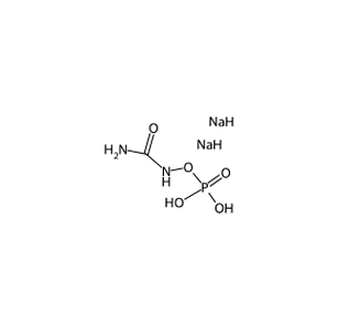 NC(=O)NOP(=O)(O)O.[NaH].[NaH]